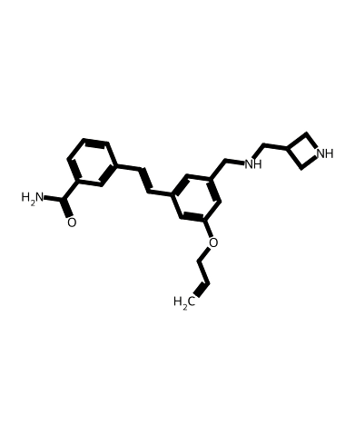 C=CCOc1cc(/C=C/c2cccc(C(N)=O)c2)cc(CNCC2CNC2)c1